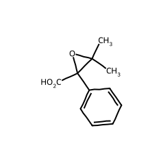 CC1(C)OC1(C(=O)O)c1ccccc1